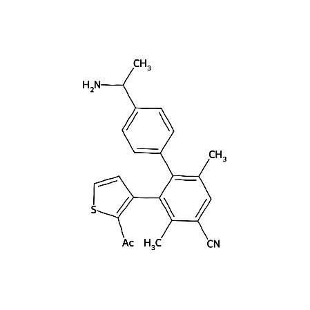 CC(=O)c1sccc1-c1c(C)c(C#N)cc(C)c1-c1ccc(C(C)N)cc1